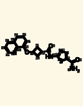 NC(=O)c1cnc(NC(=O)[C@H]2C[C@H](Oc3cccc4cccnc34)C2)s1